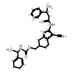 CC(NC(=O)OCC1CCc2c(sc(NC(=O)CC(C)c3cccnc3)c2C#N)C1)C1=CCCC=C1